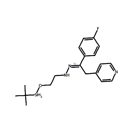 CC(C)(C)[SiH2]OCCN/N=C(\Cc1ccncc1)c1ccc(F)cc1